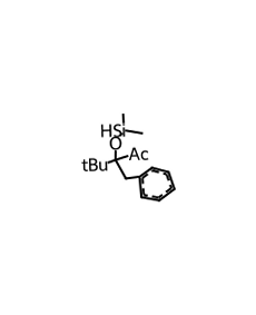 CC(=O)C(Cc1ccccc1)(O[SiH](C)C)C(C)(C)C